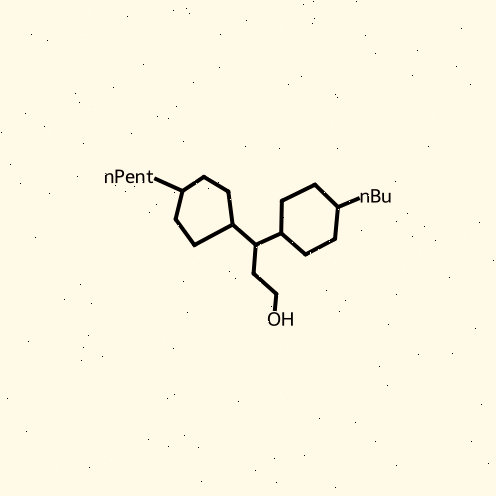 CCCCCC1CCC(C(CCO)C2CCC(CCCC)CC2)CC1